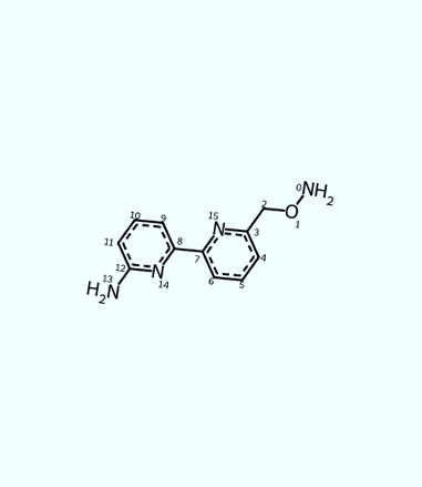 NOCc1cccc(-c2cccc(N)n2)n1